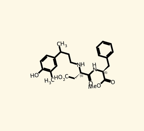 COC(=O)[C@H](Cc1ccccc1)NC(=O)[C@H](CC(=O)O)NCCC(C)c1ccc(O)c(C)c1